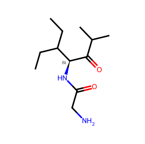 CCC(CC)[C@H](NC(=O)CN)C(=O)C(C)C